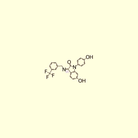 O=C1/C(=N\Cc2cccc(C(F)(F)F)c2)c2ccc(O)cc2N1c1ccc(O)cc1